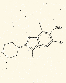 COc1c(Br)cc2c(F)n(C3CC[CH]CC3)nc2c1F